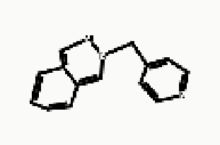 C1=c2ccccc2=CN(Cc2ccncc2)N1